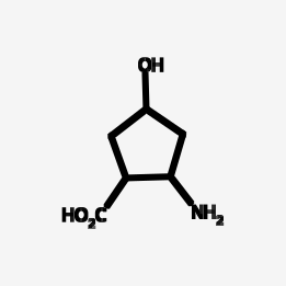 NC1CC(O)CC1C(=O)O